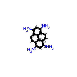 Nc1cc(N)c2ccc3c(N)cc(N)c4ccc1c2c43